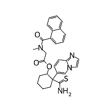 CN(CC(=O)OC1CCCCC1(C(N)=S)c1ccc2nccn2c1)C(=O)c1cccc2ccccc12